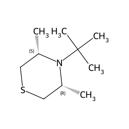 C[C@@H]1CSC[C@H](C)N1C(C)(C)C